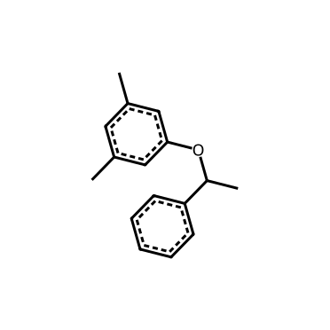 Cc1cc(C)cc(OC(C)c2ccccc2)c1